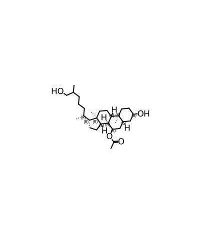 CC(=O)O[C@@H]1C[C@@H]2C[C@H](O)CC[C@]2(C)[C@H]2CC[C@]3(C)[C@@H]([C@H](C)CCCC(C)CO)CC[C@H]3[C@H]12